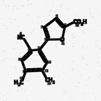 Cc1cc(C#N)c(-c2ccc(C(=O)O)o2)cc1C